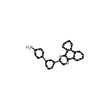 Nc1ccc(-c2cccc(-c3cnc4c5ccccc5c5ccccc5c4n3)c2)cc1